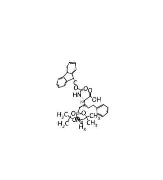 CC(C)(C)OP(=O)(C[C@H](CCc1ccccc1)[C@H](NC(=O)OCC1c2ccccc2-c2ccccc21)C(=O)O)OC(C)(C)C